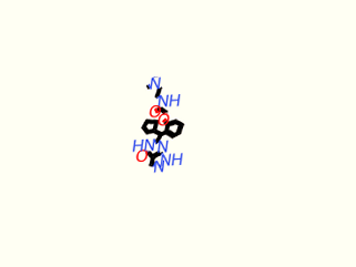 CN(C)CCNC(=O)COc1ccccc1C(c1nc2[nH]ncc2c(=O)[nH]1)C1CCCC1